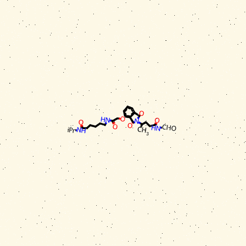 CC(C)NC(=O)CCCCCNC(=O)COc1cccc2c1C(=O)N(C(C)CCC(=O)NC=O)C2=O